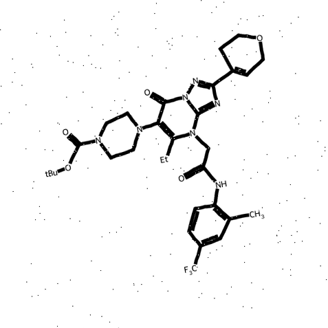 CCc1c(N2CCN(C(=O)OC(C)(C)C)CC2)c(=O)n2nc(C3=CCOCC3)nc2n1CC(=O)Nc1ccc(C(F)(F)F)cc1C